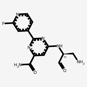 NC[C@@H](C=O)Nc1cc(C(N)=O)nc(-c2ccnc(F)c2)n1